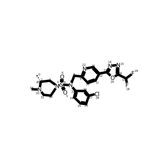 C[C@@H]1CN(S(=O)(=O)N(Cc2ccc(-c3nnc(C(F)F)o3)cn2)c2cccc(Cl)c2)CCN1C